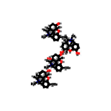 CN1CC[C@]23c4c5ccc(O)c4O[C@H]2[C@@H](O)C=C[C@H]3[C@H]1C5.COc1ccc2c3c1O[C@H]1C(=O)CC[C@@]4(O)[C@@H](C2)N(C)CC[C@]314.COc1ccc2c3c1O[C@H]1C(=O)CC[C@H]4[C@@H](C2)N(C)CC[C@]314.COc1ccc2c3c1O[C@H]1[C@@H](O)C=C[C@H]4[C@@H](C2)N(C)CC[C@@]341